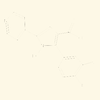 CC(=O)c1cc(-c2ccncc2)n(C)c1-c1ccc(F)c(Cl)c1